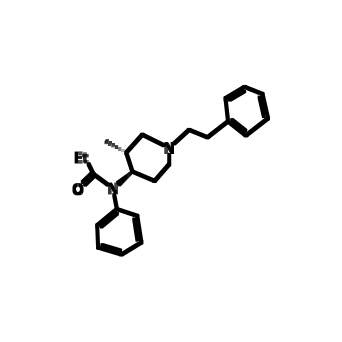 CCC(=O)N(c1ccccc1)[C@@H]1CCN(CCc2ccccc2)C[C@H]1C